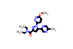 CCN(CC)C(=O)c1cc(-c2cnc(C)cn2)n(-c2ccc(OC)nn2)n1